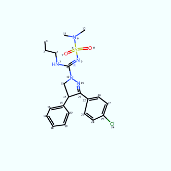 CCCN/C(=N\S(=O)(=O)N(C)C)N1CC(c2ccccc2)C(c2ccc(Cl)cc2)=N1